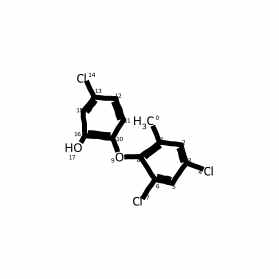 Cc1cc(Cl)cc(Cl)c1Oc1ccc(Cl)cc1O